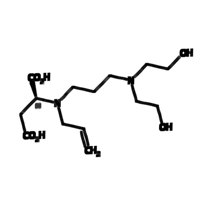 C=CCN(CCCN(CCO)CCO)[C@@H](CC(=O)O)C(=O)O